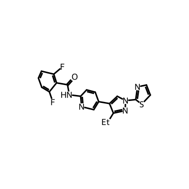 CCc1nn(-c2nccs2)cc1-c1ccc(NC(=O)c2c(F)cccc2F)nc1